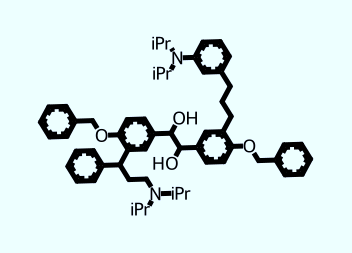 CC(C)N(CCC(c1ccccc1)c1cc(C(O)C(O)c2ccc(OCc3ccccc3)c(CCCc3cccc(N(C(C)C)C(C)C)c3)c2)ccc1OCc1ccccc1)C(C)C